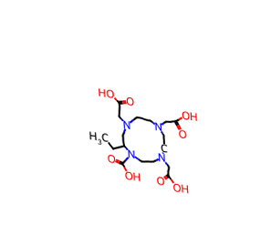 CCC1CN(CC(=O)O)CCN(CC(=O)O)CCN(CC(=O)O)CCN1C(=O)O